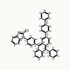 CCc1nc2ccccc2n1-c1ccc(-c2c3ccccc3c(-c3ccccc3)c3ccc(-c4ccc(-c5ccccc5)cc4)cc23)cc1